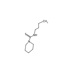 CCCCNC(=S)N1CCCCC1